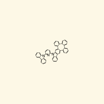 c1cc(-n2c3ccccc3c3ccccc32)nc(-n2c3ccccc3c3cc4c(cc32)-c2ccccc2-c2ccccc2-c2ccccc2-4)c1